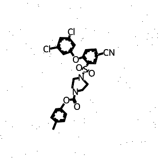 Cc1ccc(OC(=O)N2CCN(S(=O)(=O)c3cc(C#N)ccc3Oc3cc(Cl)cc(Cl)c3)CC2)cc1